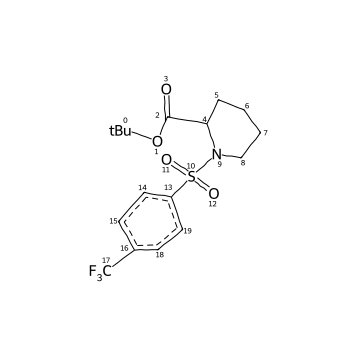 CC(C)(C)OC(=O)C1CCCCN1S(=O)(=O)c1ccc(C(F)(F)F)cc1